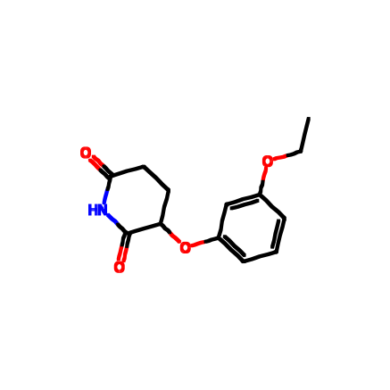 CCOc1cccc(OC2CCC(=O)NC2=O)c1